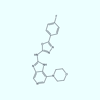 Fc1ccc(-c2nnc(Nc3nc4cncc(N5CCOCC5)c4[nH]3)o2)cc1